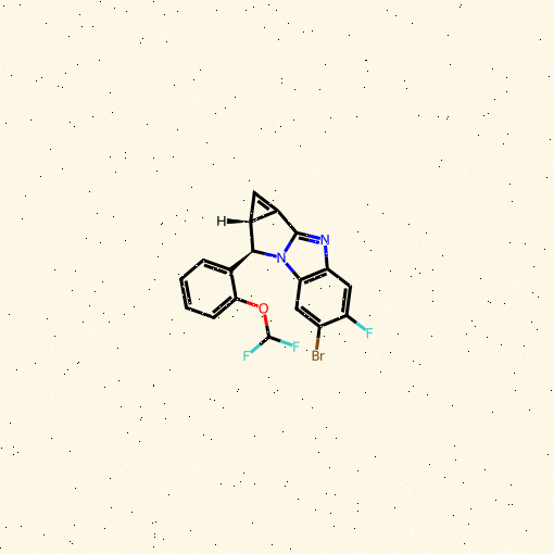 Fc1cc2nc3n(c2cc1Br)[C@@H](c1ccccc1OC(F)F)[C@@H]1C=C31